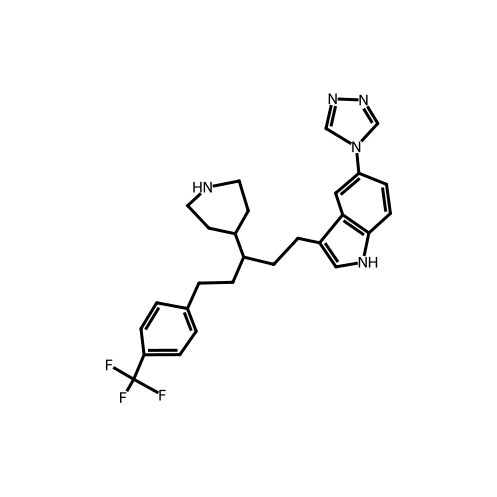 FC(F)(F)c1ccc(CCC(CCc2c[nH]c3ccc(-n4cnnc4)cc23)C2CCNCC2)cc1